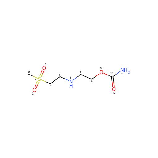 CS(=O)(=O)CCNCCOC(N)=O